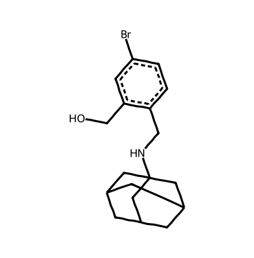 OCc1cc(Br)ccc1CNC12CC3CC(CC(C3)C1)C2